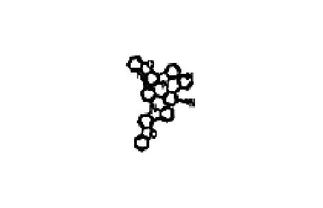 N#Cc1ccc(-n2c3ccccc3c3c4oc5ccccc5c4ccc32)c(-c2ccc(C#N)c(-c3ccncc3)c2-n2c3ccccc3c3c4oc5ccccc5c4ccc32)c1